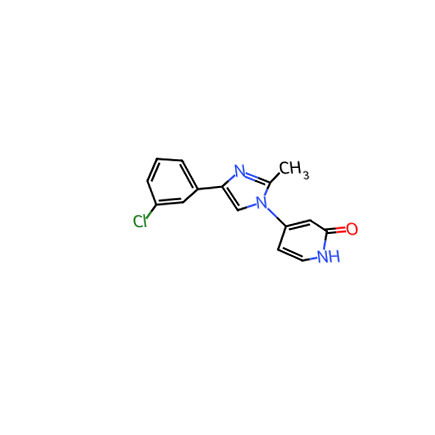 Cc1nc(-c2cccc(Cl)c2)cn1-c1cc[nH]c(=O)c1